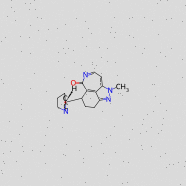 Cn1nc2c3c(c(=O)nccc31)C([C@H]1CN3CCC1CC3)CC2